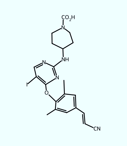 Cc1cc(C=CC#N)cc(C)c1Oc1nc(NC2CCN(C(=O)O)CC2)ncc1I